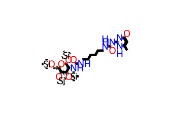 Cc1cc(=O)nc(NC(=O)NCCCCCCNC(=O)N[C@H]2C(O[Si](C)(C)C)O[C@H](CO[Si](C)(C)C)[C@@H](O[Si](C)(C)C)[C@@H]2O[Si](C)(C)C)[nH]1